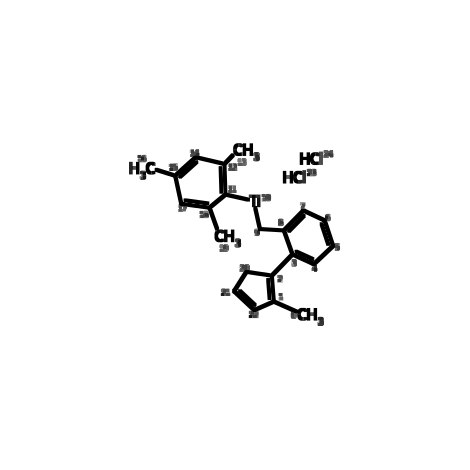 CC1=C(c2ccccc2[CH2][Ti][c]2c(C)cc(C)cc2C)CC=C1.Cl.Cl